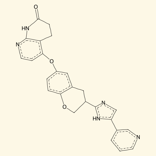 O=C1CCc2c(Oc3ccc4c(c3)CC(c3ncc(-c5cccnc5)[nH]3)CO4)ccnc2N1